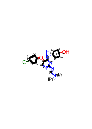 CC(C)N(C=Nc1ncc(Oc2ccc(Cl)cc2)c(N[C@H]2CC[C@H](O)CC2)n1)C(C)C